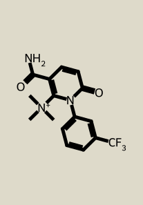 C[N+](C)(C)c1c(C(N)=O)ccc(=O)n1-c1cccc(C(F)(F)F)c1